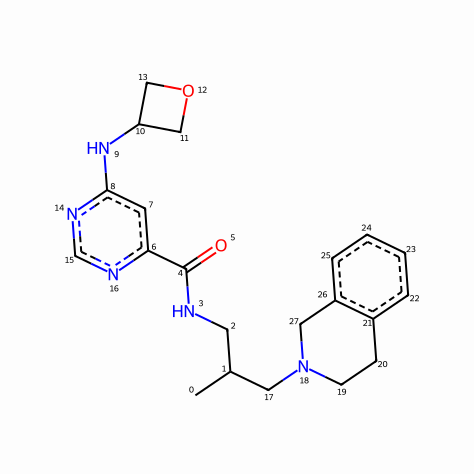 CC(CNC(=O)c1cc(NC2COC2)ncn1)CN1CCc2ccccc2C1